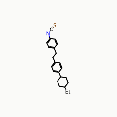 CCC1CCC(c2ccc(CCc3ccc(N=C=S)cc3)cc2)CC1